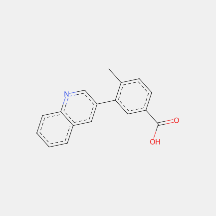 Cc1ccc(C(=O)O)cc1-c1cnc2ccccc2c1